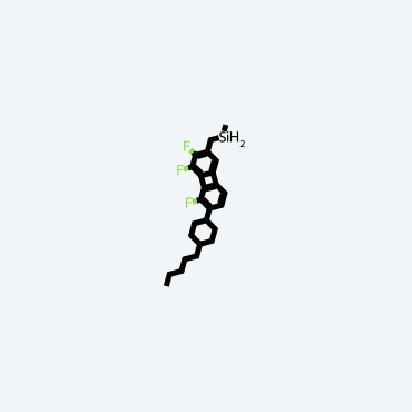 CCCCCC1CCC(c2ccc3c(c2F)-c2c-3cc(C[SiH2]C)c(F)c2F)CC1